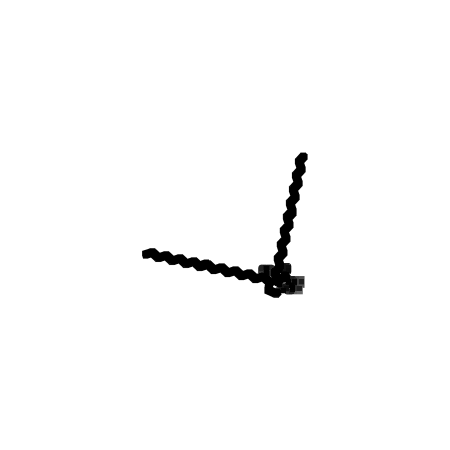 CCCCCCCCC=CCCCCCCCC(=O)C1CCN(O)C1(C(=O)O)C(=O)CCCCCCCC=CCCCCCCCC